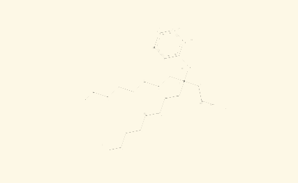 CCCCCCCCC(CCC)(CCCCCCCC)Nc1ccnnn1